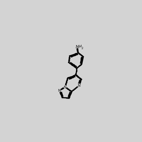 Nc1ccc(-c2cnc3ccnn3c2)cc1